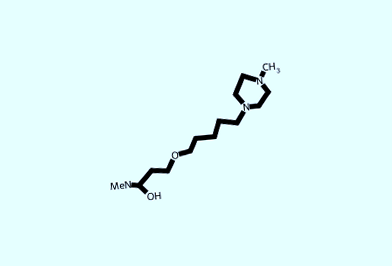 CNC(O)CCOCCCCCN1CCN(C)CC1